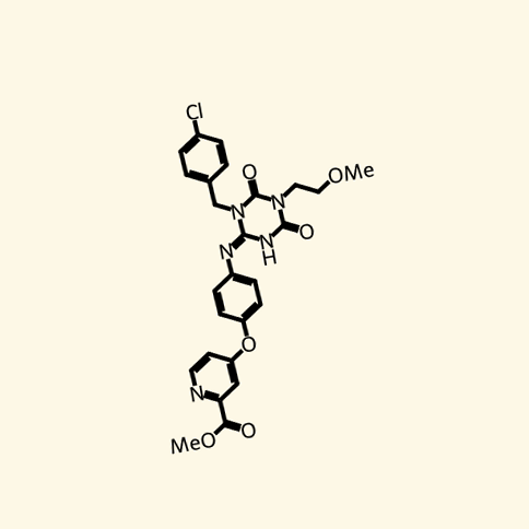 COCCn1c(=O)[nH]/c(=N\c2ccc(Oc3ccnc(C(=O)OC)c3)cc2)n(Cc2ccc(Cl)cc2)c1=O